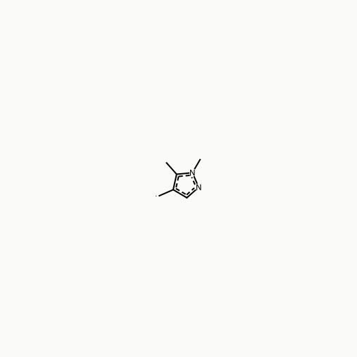 [CH2]c1cnn(C)c1C